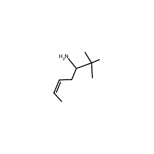 C/C=C\CC(N)C(C)(C)C